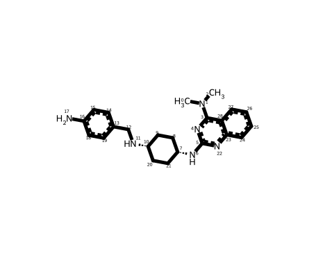 CN(C)c1nc(N[C@H]2CC[C@@H](NCc3ccc(N)cc3)CC2)nc2ccccc12